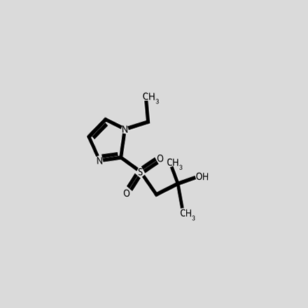 CCn1ccnc1S(=O)(=O)CC(C)(C)O